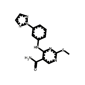 CSc1ncc(C(N)=O)c(Nc2cccc(-n3nccn3)c2)n1